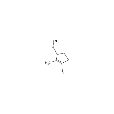 CC1=C(Cl)CCC1OC#N